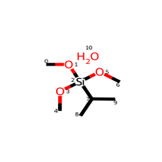 CO[Si](OC)(OC)C(C)C.O